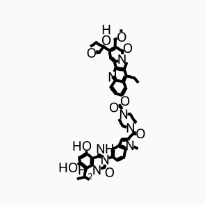 CCc1c2c(nc3ccc(OC(=O)N4CCN(C(=O)c5cc6cc(N(C(=N)c7cc(C(C)C)c(O)cc7O)C(N)=O)ccc6n5C)CC4)cc13)-c1cc(C(O)(C=O)CC)c(COC)c(=O)n1C2